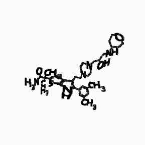 Cc1cc(C)cc(-c2[nH]c3sc(C(C)(C)C(N)=O)cc3c2CCN2CCN(CC(O)CNC3CCOCC3)CC2)c1